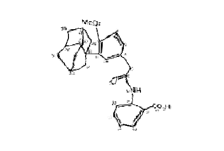 COc1ccc(CC(=O)Nc2ccccc2C(=O)O)cc1C12CC3CC(CC(C3)C1)C2